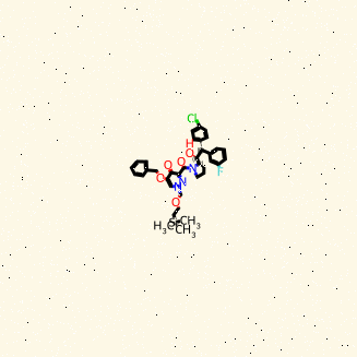 C[Si](C)(C)CCOCn1cc(OCc2ccccc2)c(=O)c(C(=O)N2CCC[C@@H]2[C@H](O)[C@H](c2ccc(Cl)cc2)c2cccc(F)c2)n1